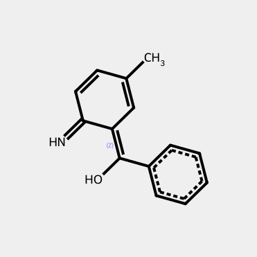 CC1=C/C(=C(/O)c2ccccc2)C(=N)C=C1